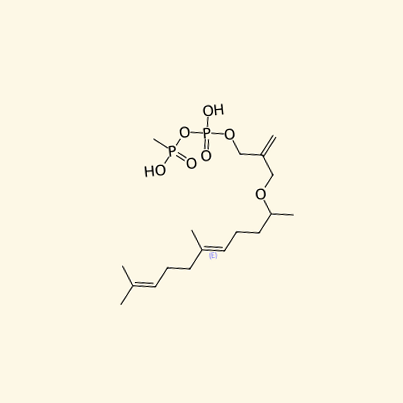 C=C(COC(C)CC/C=C(\C)CCC=C(C)C)COP(=O)(O)OP(C)(=O)O